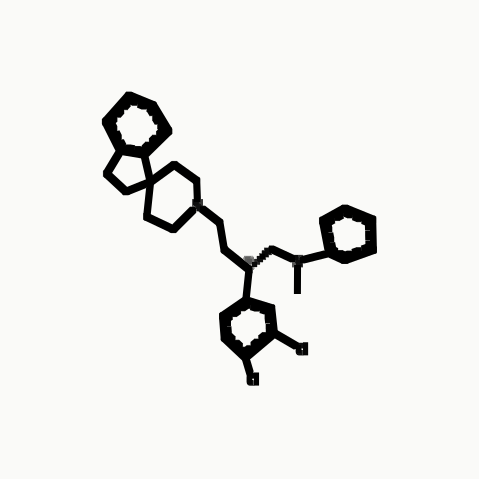 CN(C[C@@H](CCN1CCC2(CCc3ccccc32)CC1)c1ccc(Cl)c(Cl)c1)c1ccccc1